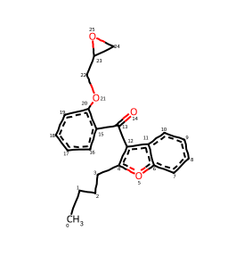 CCCCc1oc2ccccc2c1C(=O)c1ccccc1OCC1CO1